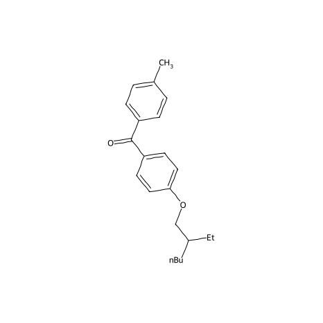 CCCCC(CC)COc1ccc(C(=O)c2ccc(C)cc2)cc1